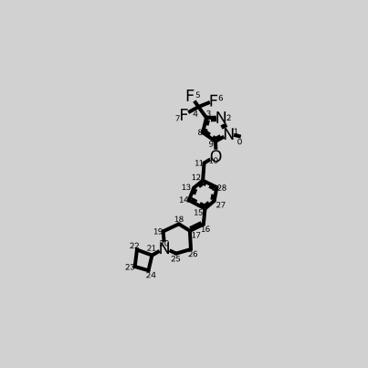 Cn1nc(C(F)(F)F)cc1OCc1ccc(C=C2CCN(C3CCC3)CC2)cc1